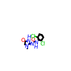 CN1CC(=O)N/C1=N\C(=O)Nc1c(Cl)cccc1Cl